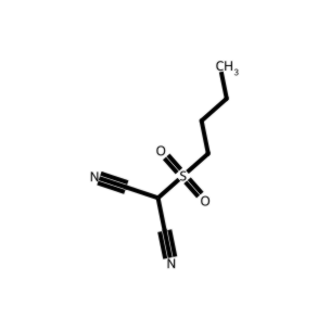 CCCCS(=O)(=O)C(C#N)C#N